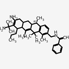 C=C(NCc1ccc2c(c1C)C(C)(C)C1=C(C)C3C(CC(N)=C(C(C)(C)N)C3CCC)CC1[C@H]2C)c1ccccc1